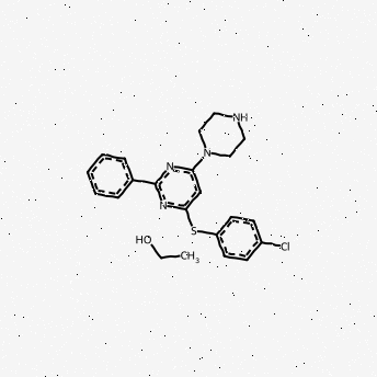 CCO.Clc1ccc(Sc2cc(N3CCNCC3)nc(-c3ccccc3)n2)cc1